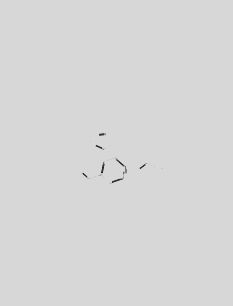 C=C.C=CO.C=COC(C)=O.C=Cc1ccccc1